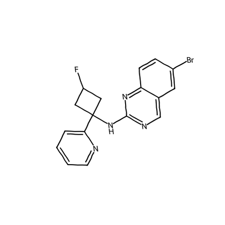 FC1CC(Nc2ncc3cc(Br)ccc3n2)(c2ccccn2)C1